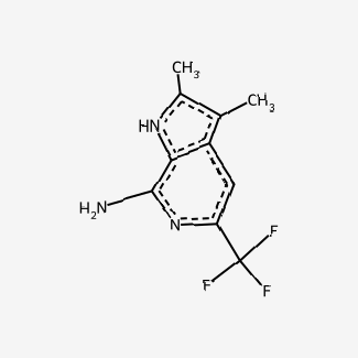 Cc1[nH]c2c(N)nc(C(F)(F)F)cc2c1C